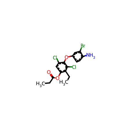 CCC(=O)Oc1cc(Cl)c(Oc2ccc(N)c(Br)c2)c(Cl)c1CC